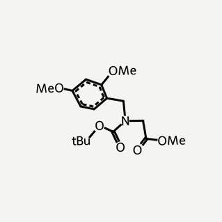 COC(=O)CN(Cc1ccc(OC)cc1OC)C(=O)OC(C)(C)C